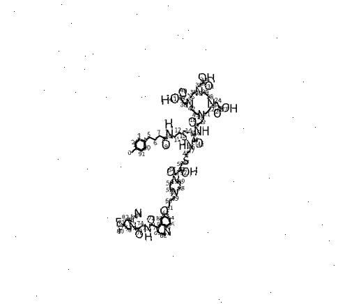 Cc1ccc(CCCC(=O)NCCSC[C@H](NC(=O)CN2CCN(CC(=O)O)CCN(CC(=O)O)CCN(CC(=O)O)CC2)C(=O)NCCSC[C@@H](O)C(=O)N2CCN(CCCOc3ccc4nccc(C(=O)NCC(=O)N5CC(F)(F)C[C@@H]5C#N)c4c3)CC2)cc1